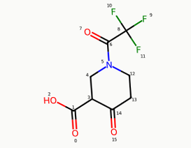 O=C(O)C1CN(C(=O)C(F)(F)F)CCC1=O